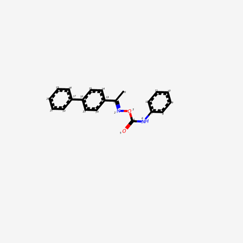 C/C(=N\OC(=O)Nc1ccccc1)c1ccc(-c2ccccc2)cc1